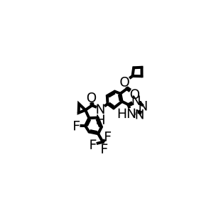 O=C(OC1CCC1)c1ccc(NC(=O)C2(c3ccc(C(F)(F)F)cc3F)CC2)cc1-c1nnn[nH]1